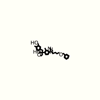 CCC(Cc1ccc(C)c(CO)c1)(C(=O)O)c1ccc2c(nnn2CCCCOCc2ccccc2)c1C